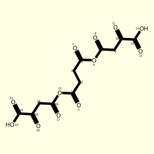 O=C(CCC(=O)OC(=O)CC(=O)C(=O)O)OC(=O)CC(=O)C(=O)O